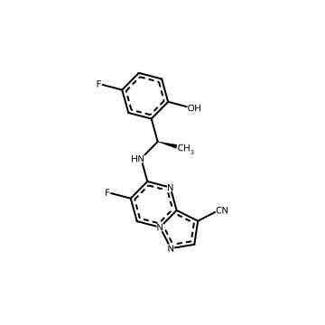 C[C@@H](Nc1nc2c(C#N)cnn2cc1F)c1cc(F)ccc1O